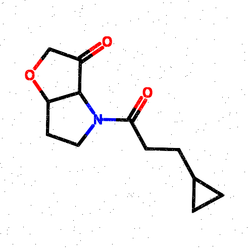 O=C1COC2CCN(C(=O)CCC3CC3)C12